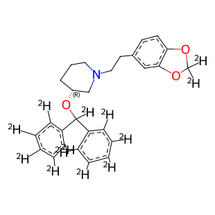 [2H]c1c([2H])c([2H])c(C([2H])(O[C@@H]2CCCN(CCc3ccc4c(c3)OC([2H])([2H])O4)C2)c2c([2H])c([2H])c([2H])c([2H])c2[2H])c([2H])c1[2H]